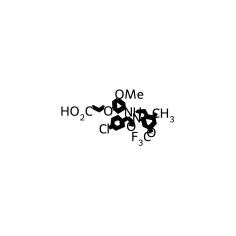 COc1cc(NC(C(=O)N2CCc3c(C)cc(OC(F)(F)F)cc32)c2ccc(Cl)cc2)cc(OCCCC(=O)O)c1